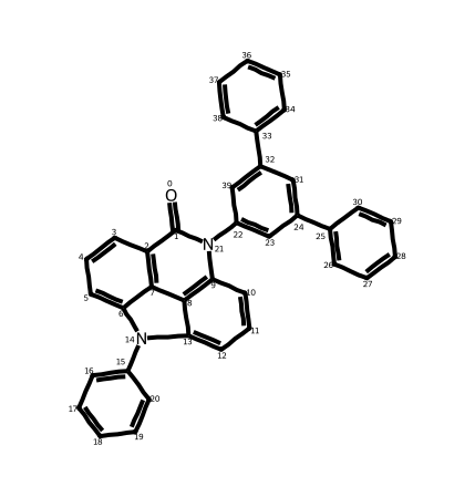 O=c1c2cccc3c2c2c(cccc2n3-c2ccccc2)n1-c1cc(-c2ccccc2)cc(-c2ccccc2)c1